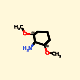 CO[C@H]1CCC[C@@H](OC)C1N